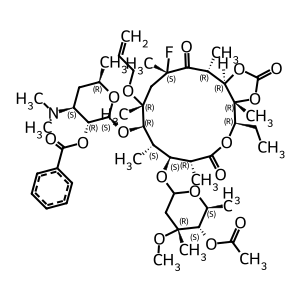 C=CCO[C@]1(C)C[C@](C)(F)C(=O)[C@H](C)[C@H]2OC(=O)O[C@]2(C)[C@@H](CC)OC(=O)[C@H](C)[C@@H](OC2C[C@@](C)(OC)[C@@H](OC(C)=O)[C@H](C)O2)[C@H](C)[C@H]1O[C@@H]1O[C@H](C)C[C@H](N(C)C)[C@H]1OC(=O)c1ccccc1